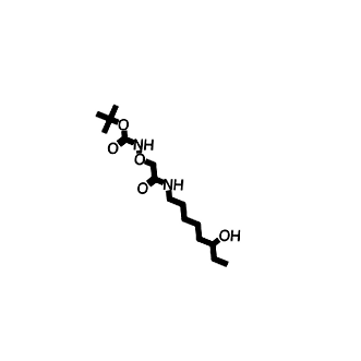 CCC(O)CCCCCNC(=O)CONC(=O)OC(C)(C)C